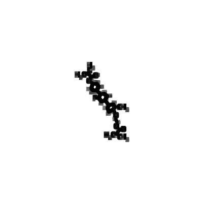 C=C(C)C(=O)OCCOc1ccc(-c2ccc(-c3ccc(OC(=O)C(=C)C)cc3)c(F)c2)cc1C